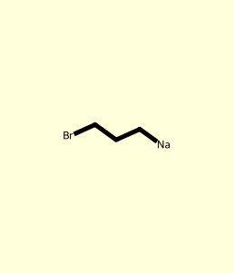 [Na][CH2]CCBr